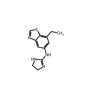 CCc1cc(NC2=NCCN2)cc2ncsc12